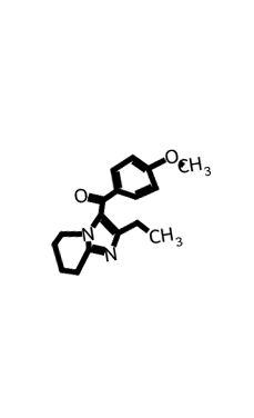 CCc1nc2n(c1C(=O)c1ccc(OC)cc1)CCCC2